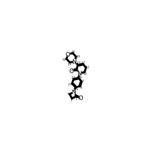 O=C1CCN1c1ccc(N2CCC=C(N3CCOCC3)C2=O)cc1